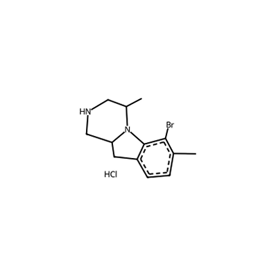 Cc1ccc2c(c1Br)N1C(C)CNCC1C2.Cl